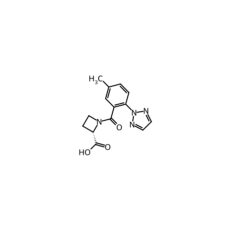 Cc1ccc(-n2nccn2)c(C(=O)N2CC[C@H]2C(=O)O)c1